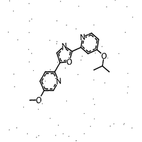 COc1ccc(-c2cnc(-c3cc(OC(C)C)ccn3)o2)nc1